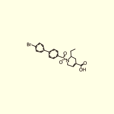 CCC1CC(C(=O)O)=CCN1S(=O)(=O)c1ccc(-c2ccc(Br)cc2)cc1